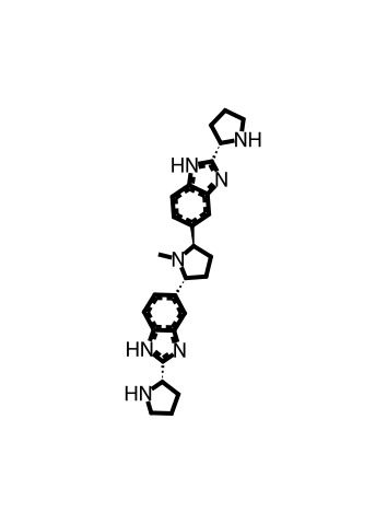 CN1[C@@H](c2ccc3[nH]c([C@@H]4CCCN4)nc3c2)CC[C@@H]1c1ccc2[nH]c([C@@H]3CCCN3)nc2c1